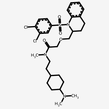 CN(CCC1CCC(N(C)C)CC1)C(=O)COCC1CCc2ccccc2N1S(=O)(=O)c1ccc(Cl)c(Cl)c1